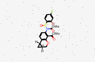 COC(=O)c1c(N(C(=O)OC)[S+]([O-])c2ccc(F)cc2Br)ccc2c1OC[C@@H]1C[C@H]21